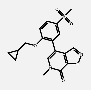 Cn1cc(-c2cc(S(C)(=O)=O)ccc2OCC2CC2)c2cnoc2c1=O